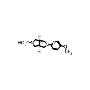 O=C(O)N1C[C@@H]2CN(c3ccc(OC(F)(F)F)cn3)C[C@H]2C1